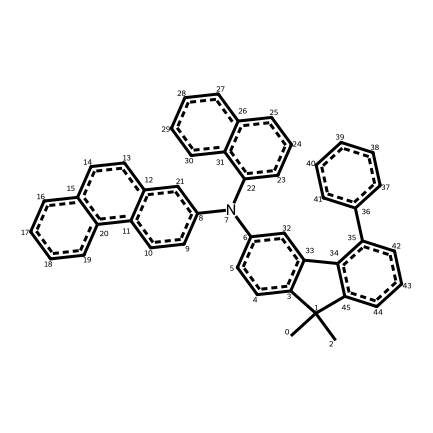 CC1(C)c2ccc(N(c3ccc4c(ccc5ccccc54)c3)c3cccc4ccccc34)cc2-c2c(-c3ccccc3)cccc21